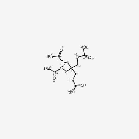 CC(C)(C)C(=O)OCC(COC(=O)C(C)(C)C)(COC(=O)C(C)(C)C)COC(=O)C(C)(C)C